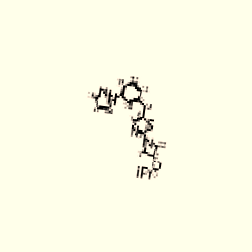 CC(C)OC1CN(c2ncc(Cc3cccc(-n4cccn4)c3)s2)C1